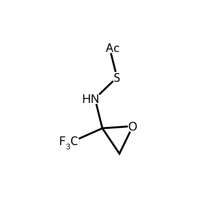 CC(=O)SNC1(C(F)(F)F)CO1